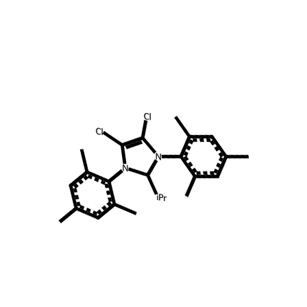 Cc1cc(C)c(N2C(Cl)=C(Cl)N(c3c(C)cc(C)cc3C)C2C(C)C)c(C)c1